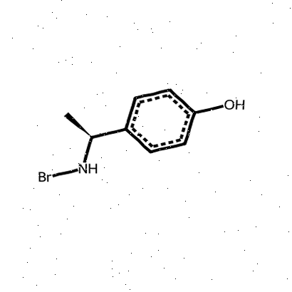 C[C@H](NBr)c1ccc(O)cc1